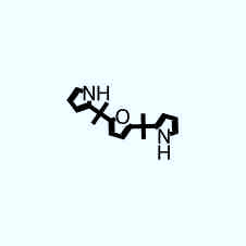 CC(C)(c1ccc[nH]1)c1ccc(C(C)(C)c2ccc[nH]2)o1